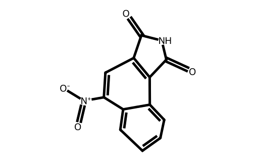 O=C1NC(=O)c2c1cc([N+](=O)[O-])c1ccccc21